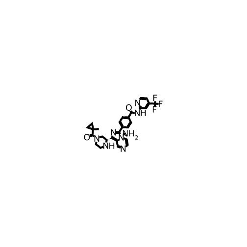 CC1(C(=O)N2CCN[C@@H](C3=C4C=NC=C[N+]4(N)C(c4ccc(C(=O)Nc5cc(C(F)(F)F)ccn5)cc4)=N3)C2)CC1